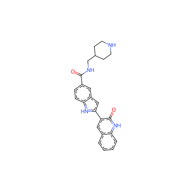 O=C(NCC1CCNCC1)c1ccc2[nH]c(-c3cc4ccccc4[nH]c3=O)cc2c1